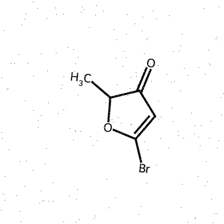 CC1OC(Br)=CC1=O